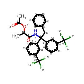 CC(=O)OC(C)C(=O)NC(Cc1ccccc1)(c1cccc(C(F)(F)F)c1)c1cccc(C(F)(F)F)c1